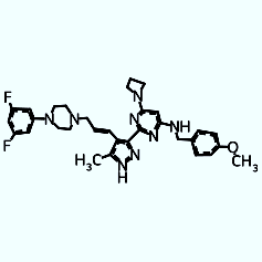 COc1ccc(CNc2cc(N3CCC3)nc(-c3n[nH]c(C)c3C=CCN3CCN(c4cc(F)cc(F)c4)CC3)n2)cc1